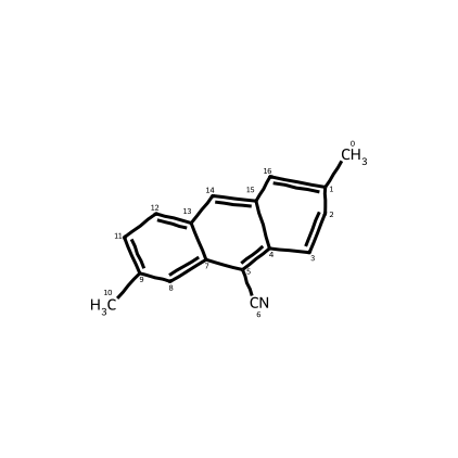 Cc1ccc2c(C#N)c3cc(C)ccc3cc2c1